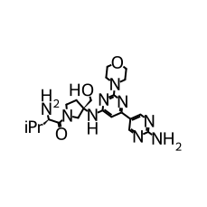 CC(C)[C@@H](N)C(=O)N1CC[C@](CO)(Nc2cc(-c3cnc(N)nc3)nc(N3CCOCC3)n2)C1